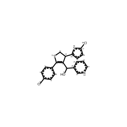 OC(C1=C(c2ccc(Cl)cc2)SCC1c1ccc(Cl)s1)c1cccnc1